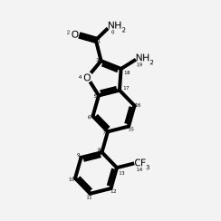 NC(=O)c1oc2cc(-c3ccccc3C(F)(F)F)ccc2c1N